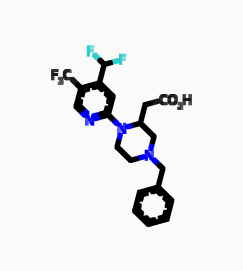 O=C(O)CC1CN(Cc2ccccc2)CCN1c1cc(C(F)F)c(C(F)(F)F)cn1